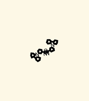 c1cc(-c2nnc(-c3cccc(-n4c5ccccc5c5ccccc54)c3)o2)cc(-n2c3ccccc3c3ccccc32)c1